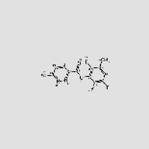 Cc1cc(F)c(F)c(OC(=O)c2ccc([18F])nn2)c1F